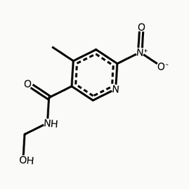 Cc1cc([N+](=O)[O-])ncc1C(=O)NCO